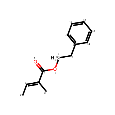 C/C=C(\C)C(=O)O[SiH2]Cc1ccccc1